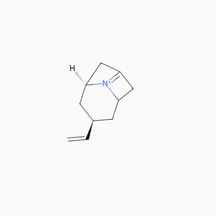 C=C[C@@H]1CC2CC3=[N+]2[C@H](C3)C1